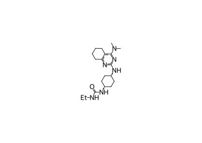 CCNC(=O)N[C@H]1CC[C@@H](Nc2nc3c(c(N(C)C)n2)CCCC3)CC1